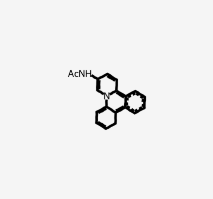 CC(=O)NC1=CN2C3=CC=CCC3=c3ccccc3=C2C=C1